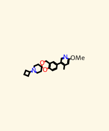 COc1cc(C)c(-c2ccc3c(c2)COC2(CCN(C4CCC4)CC2)O3)cn1